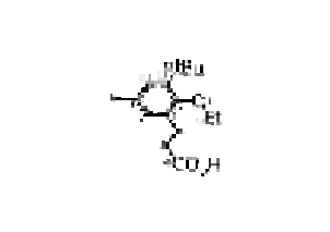 CCOc1c(CCC(=O)O)cc(C)cc1C(C)(C)C